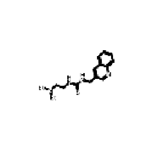 CCN(CC)CCNC(=S)NCc1cnc2ccccc2c1